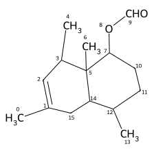 CC1=CC(C)C2(C)C(OC=O)CCC(C)C2C1